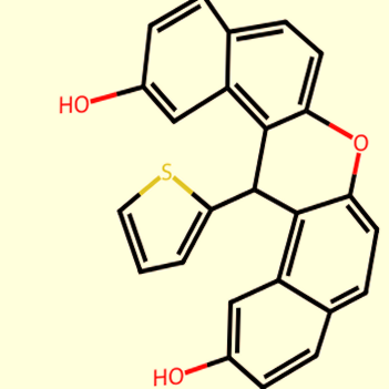 Oc1ccc2ccc3c(c2c1)C(c1cccs1)c1c(ccc2ccc(O)cc12)O3